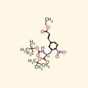 CCOC(=O)C=Cc1ccc([N+](=O)[O-])c(C[C@H](NC(=O)OC(C)(C)C)C(=O)OC(C)(C)C)c1